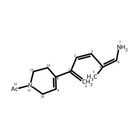 C=C(/C=C\C(C)=C/N)C1=CCN(C(C)=O)CC1